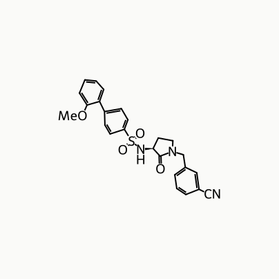 COc1ccccc1-c1ccc(S(=O)(=O)N[C@H]2CCN(Cc3cccc(C#N)c3)C2=O)cc1